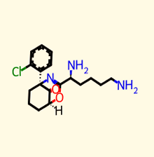 NCCCC[C@H](N)C1=N[C@]2(c3ccccc3Cl)CCC[C@H](O1)C2=O